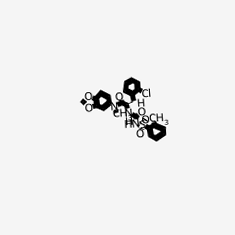 Cc1ccccc1S(=O)(=O)NC(O)N[C@@H](Cc1ccccc1Cl)C(=O)N(C)c1ccc2c(c1)OCO2